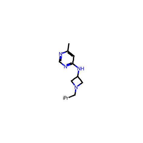 Cc1cc(NC2CN(CC(C)C)C2)ncn1